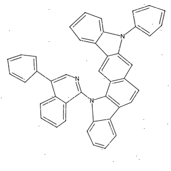 c1ccc(-c2cnc(-n3c4ccccc4c4ccc5cc6c(cc5c43)c3ccccc3n6-c3ccccc3)c3ccccc23)cc1